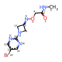 CNC(=O)CON=C1CN(c2ncc(Br)cn2)C1